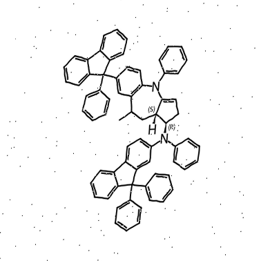 CC1C[C@@H]2C(=CC[C@H]2N(c2ccccc2)c2ccc3c(c2)C(c2ccccc2)(c2ccccc2)c2ccccc2-3)N(c2ccccc2)c2ccc(C3(c4ccccc4)c4ccccc4-c4ccccc43)cc21